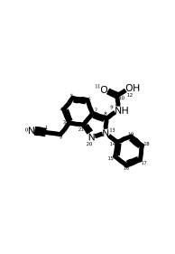 N#CCc1cccc2c(NC(=O)O)n(-c3ccccc3)nc12